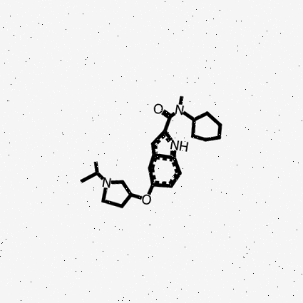 CC(C)N1CCC(Oc2ccc3[nH]c(C(=O)N(C)C4CCCCC4)cc3c2)C1